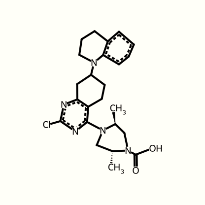 C[C@@H]1CN(c2nc(Cl)nc3c2CCC(N2CCCc4ccccc42)C3)[C@@H](C)CN1C(=O)O